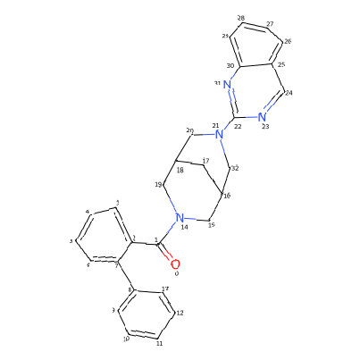 O=C(c1ccccc1-c1ccccc1)N1CC2CC(C1)CN(c1ncc3ccccc3n1)C2